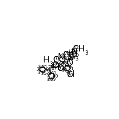 Cc1nc(C)c(C(=O)N2CCN(C)CC2)c(-c2ccc(Cl)cc2)c1C(=O)OCCC(c1ccccc1)c1ccccc1